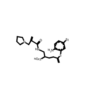 C=C(CCC(CCCCCCCC)CNC(=O)C(=C)CN1CCCC1)Sc1cc(CC)ccc1N